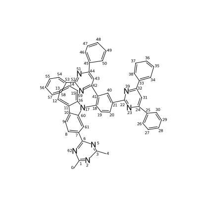 Cc1nc(C)nc(-c2ccc3c4ccccc4n(-c4ccc(-c5nc(-c6ccccc6)cc(-c6ccccc6)n5)cc4-c4cc(-c5ccccc5)nc(-c5ccccc5)n4)c3c2)n1